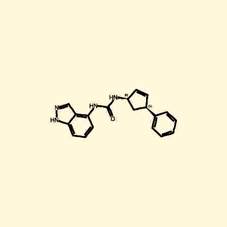 O=C(Nc1cccc2[nH]ncc12)N[C@H]1C=C[C@@H](c2ccccc2)C1